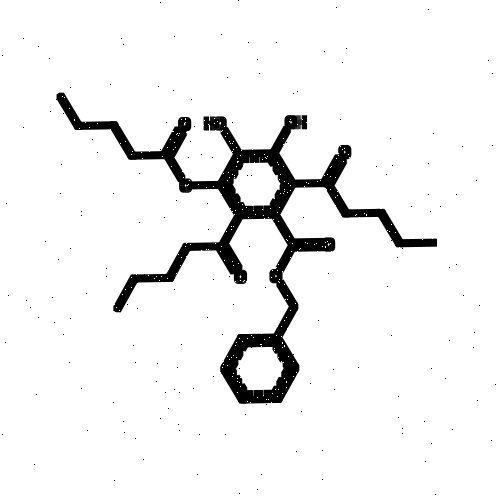 CCCCC(=O)Oc1c(O)c(O)c(C(=O)CCCC)c(C(=O)OCc2ccccc2)c1C(=O)CCCC